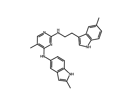 Cc1ccc2[nH]cc(CCNc3ncc(C)c(Nc4ccc5[nH]c(C)cc5c4)n3)c2c1